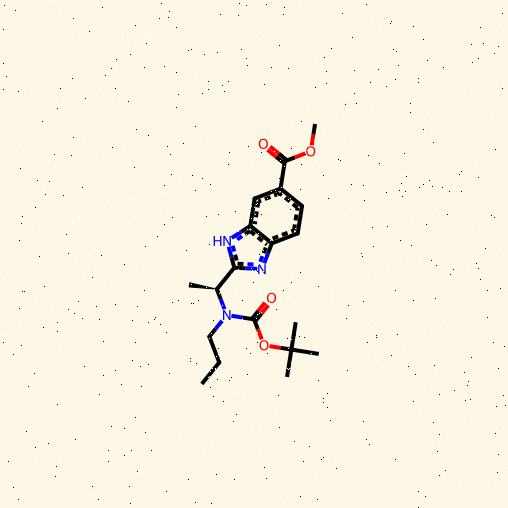 CCCN(C(=O)OC(C)(C)C)[C@@H](C)c1nc2ccc(C(=O)OC)cc2[nH]1